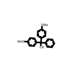 COc1ccc(C(C#N)(c2ccccc2)c2ccc(OC)cc2)cc1